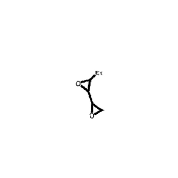 [CH2]CC1OC1C1CO1